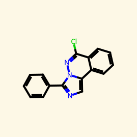 Clc1nn2c(-c3ccccc3)ncc2c2ccccc12